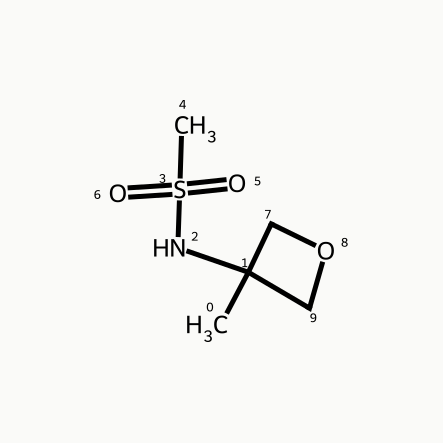 CC1(NS(C)(=O)=O)COC1